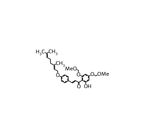 COCOc1cc(O)c(C(=O)/C=C/c2ccc(OC/C=C(\C)CCC=C(C)C)cc2)c(OCOC)c1